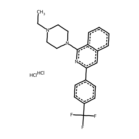 CCN1CCN(c2nc(-c3ccc(C(F)(F)F)cc3)cc3ccccc23)CC1.Cl.Cl